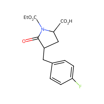 CCOC(=O)N1C(=O)C(Cc2ccc(F)cc2)CC1C(=O)O